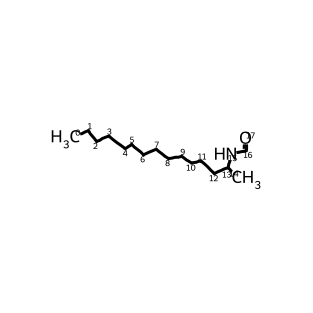 CCCCCCCCCCCCCC(C)NC=O